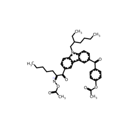 CCCCC/C(=N/OC(C)=O)C(=O)c1ccc2c(c1)c1cc(C(=O)c3ccc(OC(C)=O)cc3)ccc1n2CC(CC)CCCC